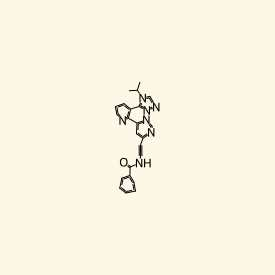 CC(C)n1cnnc1-c1cccnc1-c1cc(C#CNC(=O)c2ccccc2)ncn1